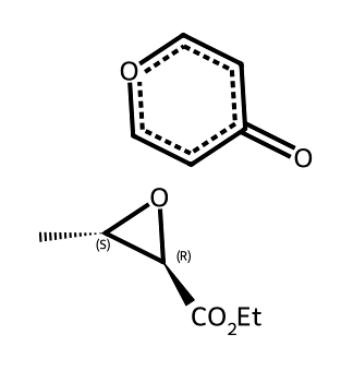 CCOC(=O)[C@@H]1O[C@H]1C.O=c1ccocc1